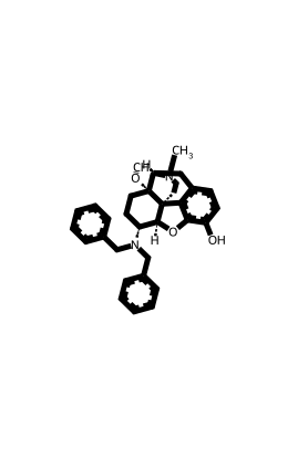 CO[C@@]12CC[C@@H](N(Cc3ccccc3)Cc3ccccc3)[C@@H]3Oc4c(O)ccc5c4[C@@]31CCN(C)[C@@H]2C5